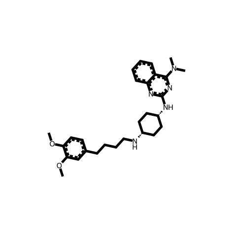 COc1ccc(CCCCN[C@H]2CC[C@@H](Nc3nc(N(C)C)c4ccccc4n3)CC2)cc1OC